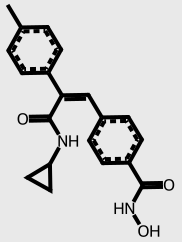 Cc1ccc(/C(=C/c2ccc(C(=O)NO)cc2)C(=O)NC2CC2)cc1